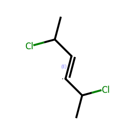 CC(Cl)/[C]=C/C(C)Cl